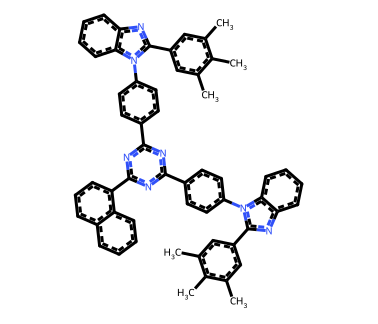 Cc1cc(-c2nc3ccccc3n2-c2ccc(-c3nc(-c4ccc(-n5c(-c6cc(C)c(C)c(C)c6)nc6ccccc65)cc4)nc(-c4cccc5ccccc45)n3)cc2)cc(C)c1C